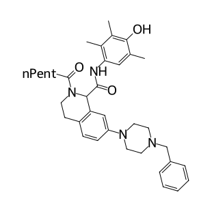 CCCCCC(=O)N1CCc2ccc(N3CCN(Cc4ccccc4)CC3)cc2C1C(=O)Nc1cc(C)c(O)c(C)c1C